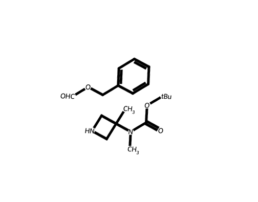 CN(C(=O)OC(C)(C)C)C1(C)CNC1.O=COCc1ccccc1